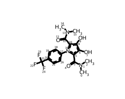 CN(C)C(=O)c1c(O)c(O)c(C(=O)N(C)C)n1-c1ccc(C(F)(F)F)cc1